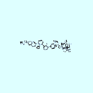 Cc1c(-c2ccn3c(=O)c(CN(C[C@@H]4CCC(=O)N4)C(=O)OC(C)(C)C)cnc3c2)cccc1-c1cccc(-c2ccc3c(c2)C=C(N)C3)c1Cl